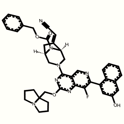 N#C/C=C1\C[C@@H]2CN(c3nc(OCC45CCCN4CCC5)nc4c(F)c(-c5cc(O)cc6ccccc56)ncc34)C[C@H]1N2C(=O)OCc1ccccc1